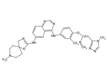 C=N/C(=C\c1nncn1C)Oc1ccc(Nc2ncnc3ccc(NC4=NCC5(CCN(C)CC5)O4)cc23)cc1C